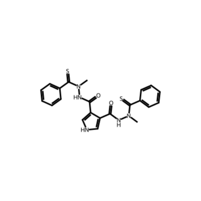 CN(NC(=O)c1c[nH]cc1C(=O)NN(C)C(=S)c1ccccc1)C(=S)c1ccccc1